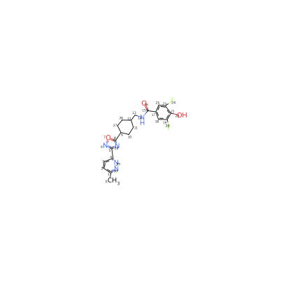 Cc1ccc(-c2noc(C3CCC(CNC(=O)c4cc(F)c(O)c(F)c4)CC3)n2)nn1